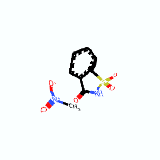 C[N+](=O)[O-].O=C1NS(=O)(=O)c2ccccc21